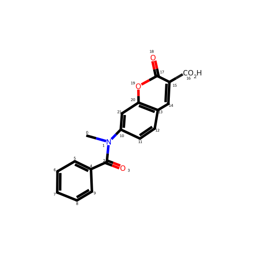 CN(C(=O)c1ccccc1)c1ccc2cc(C(=O)O)c(=O)oc2c1